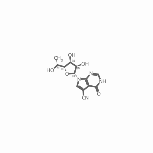 C[C@@H](O)[C@H]1O[C@@H](n2cc(C#N)c3c(=O)[nH]cnc32)[C@H](O)[C@@H]1O